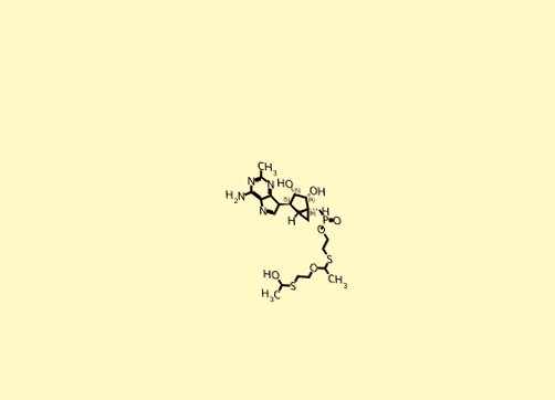 Cc1nc(N)c2c(n1)C([C@H]1[C@H](O)[C@H](O)[C@@]3(C[PH](=O)OCCSC(C)OCCSC(C)O)C[C@H]13)C=N2